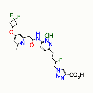 Cc1cc(OC2CC(F)(F)C2)cc(CC(=O)Nc2ccc(CCC(F)Cn3cc(C(=O)O)nn3)nn2)n1.Cl